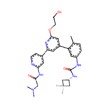 Cc1ccc(NC(=O)N[C@H]2C[C@](C)(F)C2)cc1-c1cc(OCCO)nc(-c2ccnc(NC(=O)CN(C)C)c2)c1